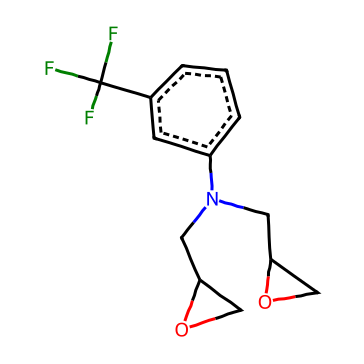 FC(F)(F)c1cccc(N(CC2CO2)CC2CO2)c1